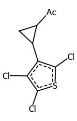 CC(=O)C1CC1c1c(Cl)sc(Cl)c1Cl